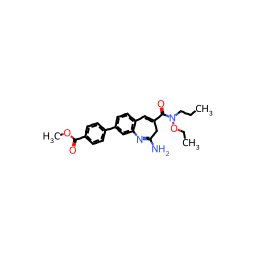 CCCN(OCC)C(=O)C1=Cc2ccc(-c3ccc(C(=O)OC)cc3)cc2N=C(N)C1